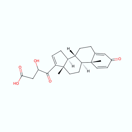 C[C@]12C=CC(=O)C=C1CC[C@@H]1[C@@H]2CC[C@]2(C)C(C(=O)C(O)CC(=O)O)=CC[C@@H]12